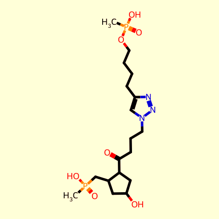 CP(=O)(O)CC1CC(O)CC1C(=O)CCCn1cc(CCCCOP(C)(=O)O)nn1